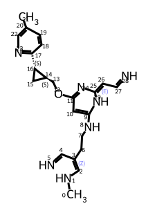 CN/C=C(\C=N)CCNC1=CC(OC[C@H]2C[C@@H]2c2ccc(C)cn2)=N/C(=C/C=N)N1